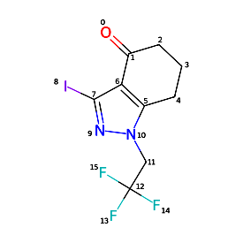 O=C1CCCc2c1c(I)nn2CC(F)(F)F